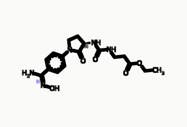 CCOC(=O)CCNC(=O)N[C@H]1CCN(c2ccc(/C(N)=N\O)cc2)C1=O